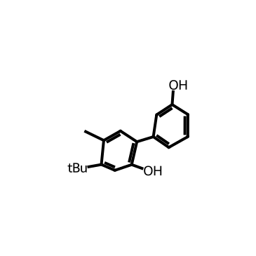 Cc1cc(-c2cccc(O)c2)c(O)cc1C(C)(C)C